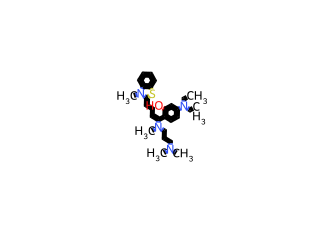 CCN(CC)c1ccc(/C(=C\C/C=C2\Sc3ccccc3N2C)N(C)CCCN(C)C)c(O)c1